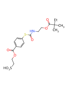 CCC(C)(C)C(=O)OCCNC(=O)Sc1ccc(C(=O)OCCS(=O)(=O)O)cc1